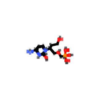 Nc1ccn(C(CCO)COCP(=O)(O)O)c(=O)n1